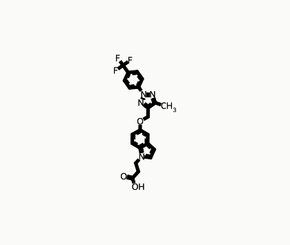 Cc1nn(-c2ccc(C(F)(F)F)cc2)nc1COc1ccc2c(ccn2CCC(=O)O)c1